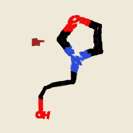 OCC[n+]1ccoc1.[Br-]